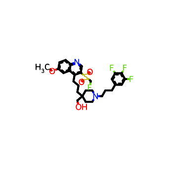 COc1ccc2ncc(S(=O)(=O)CF)c(CCCC3(CO)CCN(CCCc4cc(F)c(F)c(F)c4)CC3)c2c1